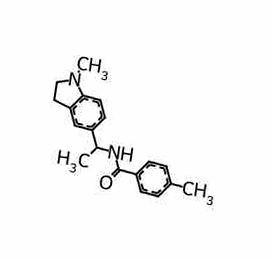 Cc1ccc(C(=O)NC(C)c2ccc3c(c2)CCN3C)cc1